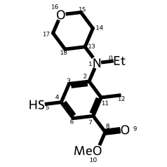 CCN(c1cc(S)cc(C(=O)OC)c1C)C1CCOCC1